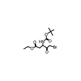 CCOC(=O)CC(NC(=O)OC(C)(C)C)C(=O)CBr